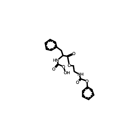 O=C(NC(Cc1ccccc1)C(=O)OCCNC(=O)Oc1ccccc1)OO